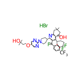 Br.CC(C)(O)CCOc1cnc(N2CCC(c3nc4c(c(C5CCC(F)(F)CC5)c3[C@@H](F)c3ccc(C(F)(F)F)cc3)[C@@H](O)CC(C)(C)C4)CC2)nc1